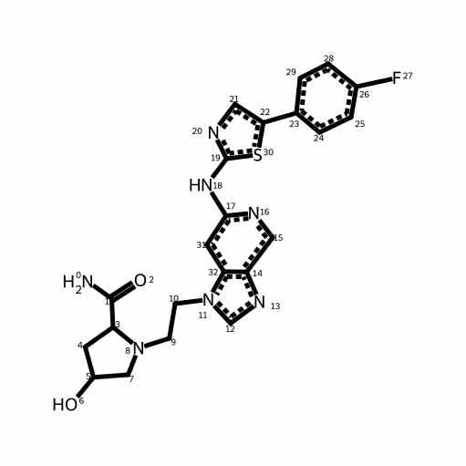 NC(=O)C1CC(O)CN1CCn1cnc2cnc(Nc3ncc(-c4ccc(F)cc4)s3)cc21